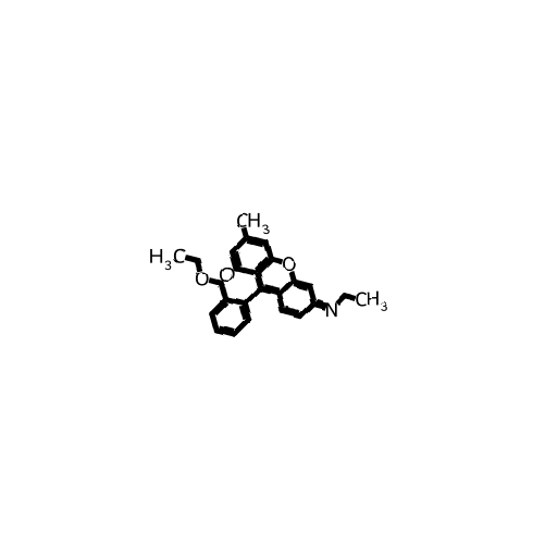 CC/N=c1/ccc2c(-c3ccccc3C(=O)OCC)c3ccc(C)cc3oc-2c1